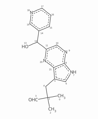 CC(C)(C=O)Cc1c[nH]c2ncc(C(O)c3cccnc3)nc12